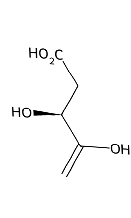 C=C(O)[C@@H](O)CC(=O)O